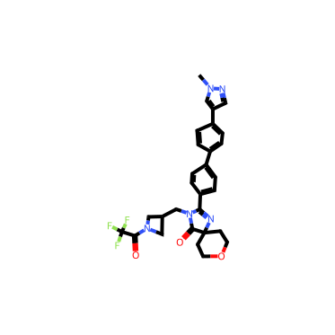 Cn1cc(-c2ccc(-c3ccc(C4=NC5(CCOCC5)C(=O)N4CC4CN(C(=O)C(F)(F)F)C4)cc3)cc2)cn1